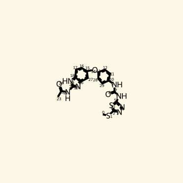 CSc1nnc(NC(=O)Nc2ccc(Oc3ccc4[nH]c(NC(C)=O)nc4c3)cc2)s1